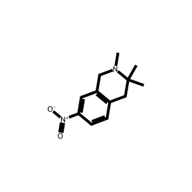 CN1Cc2cc([N+](=O)[O-])ccc2CC1(C)C